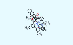 Cc1cc(C)cc(-c2cc(C)cc(-c3cc(C)cc(C)c3)c2N2/C(=C/C=C3C(=O)c4cc5c(cc4C3=O)CCCC5)N(c3c(C(C)C)cccc3C(C)C)c3nc4ccccc4nc32)c1